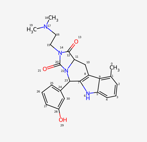 Cc1cccc2[nH]c3c(c12)CC1C(=O)N(CCN(C)C)C(=O)N1C3c1cccc(O)c1